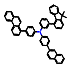 CC1(C)c2ccccc2-c2c(-c3cccc(N(c4ccc(-c5ccc6ccccc6c5)cc4)c4ccc(-c5cccc6c5ccc5ccccc56)cc4)c3)cccc21